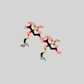 CCSOC(CC(=O)O)(C(=O)O)S(=O)(=O)O.CCSOC(CC(=O)O)(C(=O)O)S(=O)(=O)O.[Na]